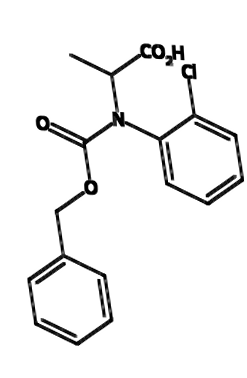 CC(C(=O)O)N(C(=O)OCc1ccccc1)c1ccccc1Cl